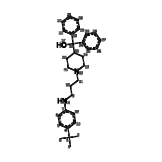 CC(C)(C)c1ccc(NCCCN2CCC(C(O)(c3ccccc3)c3ccccc3)CC2)cc1